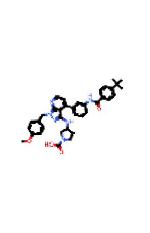 COc1ccc(Cn2nc(NC3CCN(C(=O)O)C3)c3c(-c4cccc(NC(=O)c5ccc(C(C)(C)C)cc5)c4)ccnc32)cc1